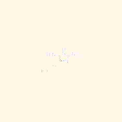 CCOc1nc(N)[nH]c1N